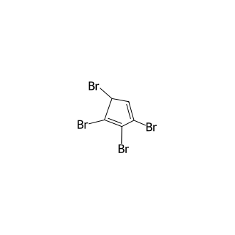 BrC1=CC(Br)C(Br)=C1Br